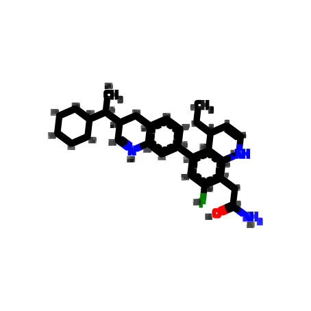 CCC1C=CNc2c(CC(N)=O)c(F)cc(-c3ccc4c(c3)N=CC(C(C)C3CCCCC3)C4)c21